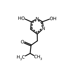 CC(C)C(=O)Cc1cc(O)nc(O)n1